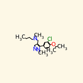 CCCCN(C)Cc1cnn(C)c1-c1ccc(OC(C)C)c(Cl)c1